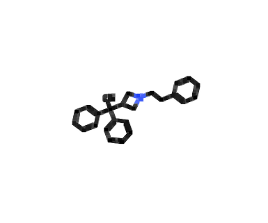 N#CC(c1ccccc1)(c1ccccc1)C1CN(CCc2ccccc2)C1